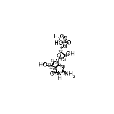 COP(=O)(O)OC[C@H]1O[C@@H](n2cc(CO)c3c(=O)[nH]c(N)nc32)C[C@H]1O